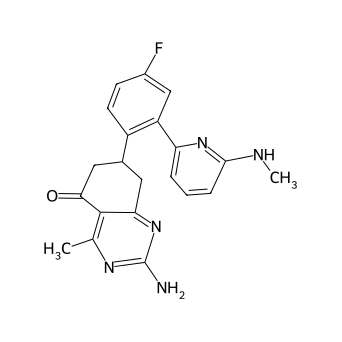 CNc1cccc(-c2cc(F)ccc2C2CC(=O)c3c(C)nc(N)nc3C2)n1